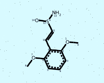 COc1cccc(OC)c1C=C[S+](N)[O-]